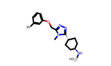 CC(C)c1cccc(OCc2nnc([C@H]3CC[C@H](NC(=O)O)CC3)n2C)c1